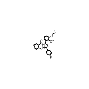 CCCOc1cccc(C2SC(c3ccc(F)cc3)=NN2C(=O)c2ccccc2C)c1OC